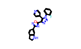 Fc1ccccc1-n1nnc(-c2nc(-c3ccc4c(c3)NCC4)no2)c1-c1ccncc1